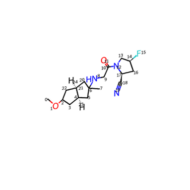 COC1C[C@@H]2CC(C)(NCC(=O)N3C[C@@H](F)C[C@H]3C#N)C[C@@H]2C1